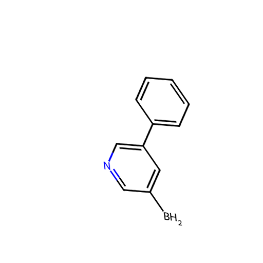 Bc1cncc(-c2ccccc2)c1